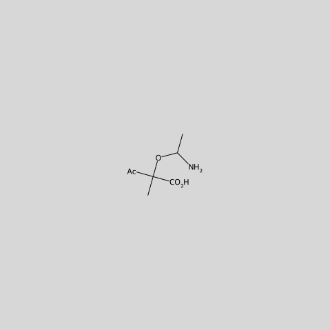 CC(=O)C(C)(OC(C)N)C(=O)O